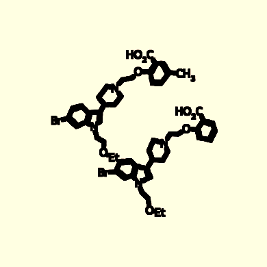 CCOCCn1cc(C2CCN(CCOc3ccc(C)cc3C(=O)O)CC2)c2ccc(Br)cc21.CCOCCn1cc(C2CCN(CCOc3ccccc3C(=O)O)CC2)c2ccc(Br)cc21